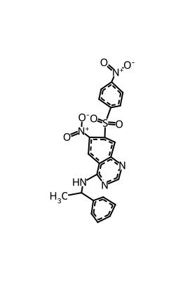 CC(Nc1ncnc2cc(S(=O)(=O)c3ccc([N+](=O)[O-])cc3)c([N+](=O)[O-])cc12)c1ccccc1